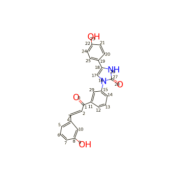 O=C(C=Cc1cccc(O)c1)c1cccc(-n2cc(-c3ccc(O)cc3)[nH]c2=O)c1